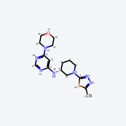 N#Cc1nnc(N2CCC[C@@H](Nc3cc(N4CCOCC4)ncn3)C2)s1